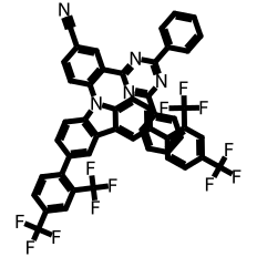 N#Cc1ccc(-n2c3ccc(-c4ccc(C(F)(F)F)cc4C(F)(F)F)cc3c3cc(-c4ccc(C(F)(F)F)cc4C(F)(F)F)ccc32)c(-c2nc(-c3ccccc3)nc(-c3ccccc3)n2)c1